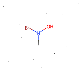 CN(O)Br